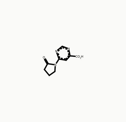 O=C(O)c1cc(N2CCCC2=O)ncn1